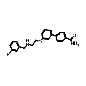 NC(=O)c1ccc(-c2cccc(OCCNCc3cccc(F)c3)c2)cc1